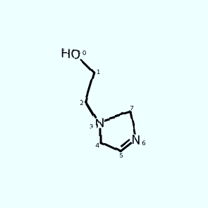 OCCN1CC=NC1